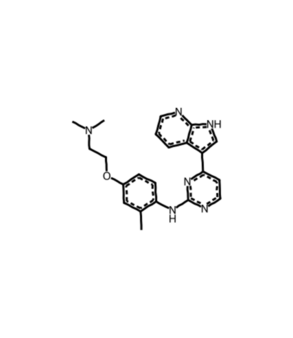 Cc1cc(OCCN(C)C)ccc1Nc1nccc(-c2c[nH]c3ncccc23)n1